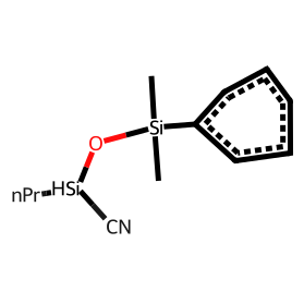 CCC[SiH](C#N)O[Si](C)(C)c1ccccc1